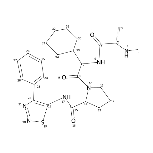 CN[C@@H](C)C(=O)NC(C(=O)N1CCCC1C(=O)Nc1snnc1-c1ccccc1)C1CCCCC1